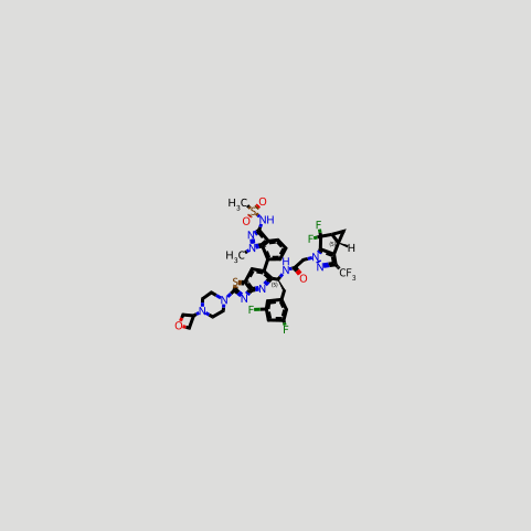 Cn1nc(NS(C)(=O)=O)c2cccc(-c3cc4sc(N5CCN(C6COC6)CC5)nc4nc3[C@H](Cc3cc(F)cc(F)c3)NC(=O)Cn3nc(C(F)(F)F)c4c3C(F)(F)C3C[C@H]43)c21